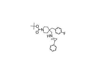 CC(C)(C)OC(=O)N1CCC(CN[C@@H]2CC2c2ccccc2)(Cc2ccc(F)cc2)CC1